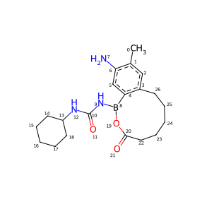 Cc1cc2c(cc1N)B(NC(=O)NC1CCCCC1)OC(=O)CCCCC2